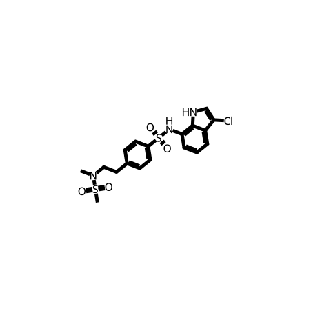 CN(CCc1ccc(S(=O)(=O)Nc2cccc3c(Cl)c[nH]c23)cc1)S(C)(=O)=O